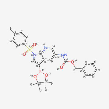 Cc1ccc(S(=O)(=O)n2cc(B3OC(C)(C)C(C)(C)O3)c3cc(NC(=O)OCc4ccccc4)cnc32)cc1